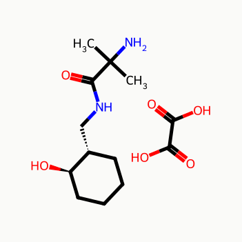 CC(C)(N)C(=O)NC[C@@H]1CCCC[C@H]1O.O=C(O)C(=O)O